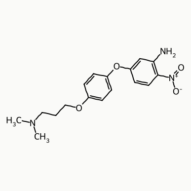 CN(C)CCCOc1ccc(Oc2ccc([N+](=O)[O-])c(N)c2)cc1